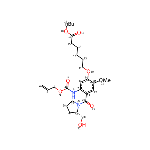 C=CCOC(=O)Nc1cc(OCCCCCC(=O)OCCCC)c(OC)cc1C(=O)N1CCC[C@H]1CO